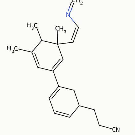 C=N/C=C\C1(C)C=C(C2=CC=CC(CCC#N)C2)C=C(C)C1C